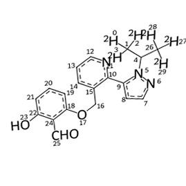 [2H]C([2H])([2H])C(n1nccc1-c1ncccc1COc1cccc(O)c1C=O)C([2H])([2H])[2H]